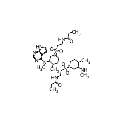 CCC(=O)NCCS(=O)(=O)N1CCC(C)C(N(C)c2ncnc3[nH]ccc23)C1.CCC(=O)NCCS(=O)(=O)N1CCC(C)C(NC)C1